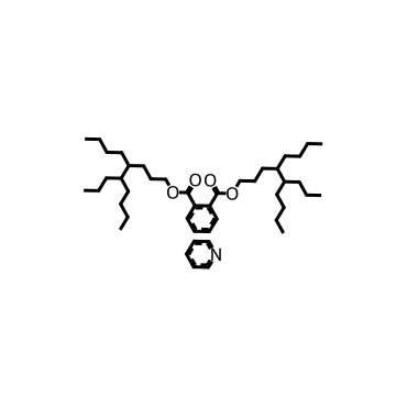 CCCCC(CCC)C(CCCC)CCCOC(=O)c1ccccc1C(=O)OCCCC(CCCC)C(CCC)CCCC.c1ccncc1